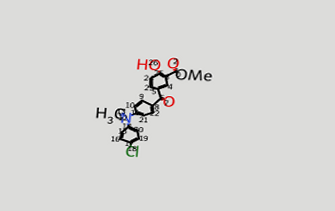 COC(=O)c1cc(C(=O)c2ccc(N(C)c3ccc(Cl)cc3)cc2)ccc1O